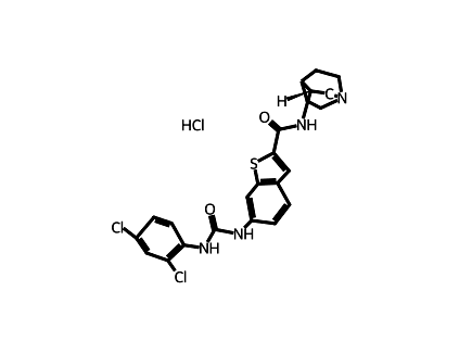 Cl.O=C(Nc1ccc2cc(C(=O)N[C@H]3CN4CCC3CC4)sc2c1)Nc1ccc(Cl)cc1Cl